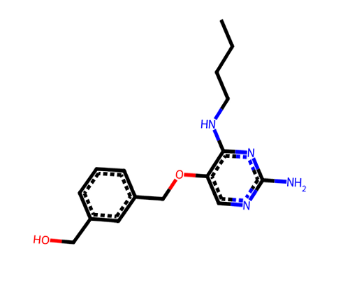 CCCCNc1nc(N)ncc1OCc1cccc(CO)c1